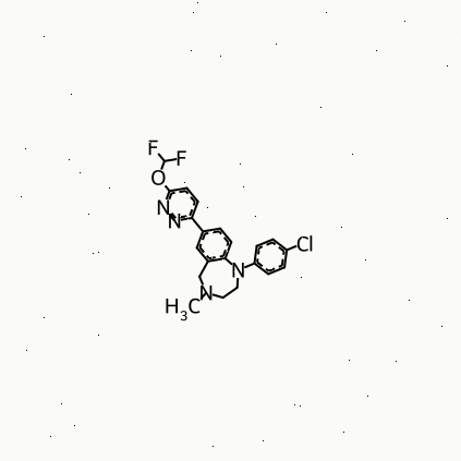 CN1CCN(c2ccc(Cl)cc2)c2ccc(-c3ccc(OC(F)F)nn3)cc2C1